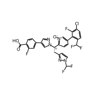 O=C(O)c1ccc(-c2cnn([C@@H](Cc3ccn(C(F)F)n3)c3ccc(-c4c(C(F)F)ccc(Cl)c4F)c[n+]3[O-])c2)cc1F